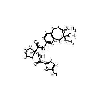 CN1CCc2ccc(NC(=O)[C@@]3(NC(=O)c4ccc(Cl)s4)CCOC3)cc2CC1(C)C